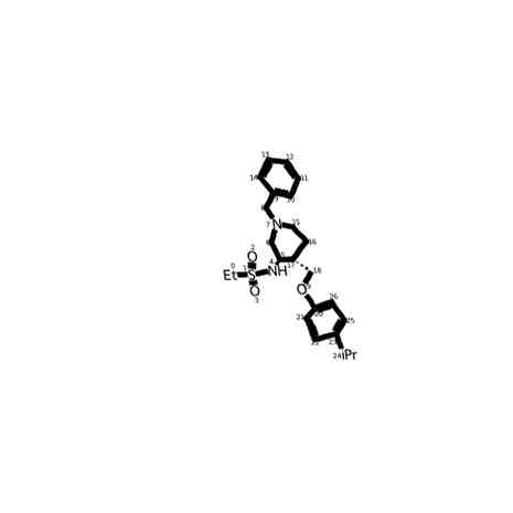 CCS(=O)(=O)N[C@H]1CN(Cc2ccccc2)CC[C@@H]1COc1ccc(C(C)C)cc1